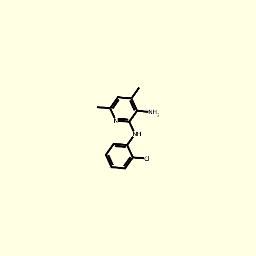 Cc1cc(C)c(N)c(Nc2cc[c]cc2Cl)n1